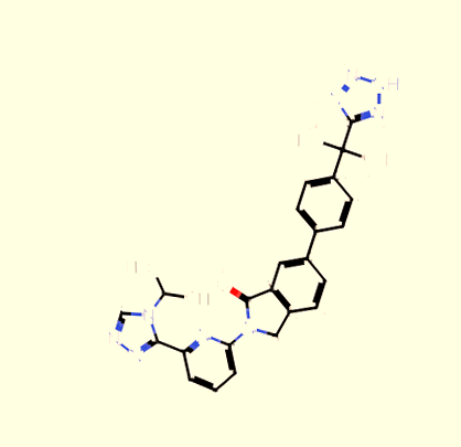 CC(C)n1cnnc1-c1cccc(N2Cc3ccc(-c4ccc(C(C)(C)c5nn[nH]n5)cc4)cc3C2=O)n1